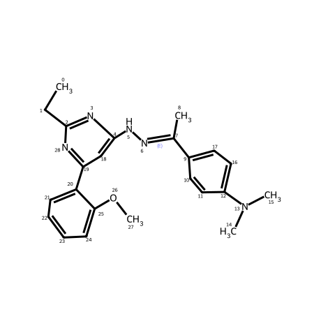 CCc1nc(N/N=C(\C)c2ccc(N(C)C)cc2)cc(-c2ccccc2OC)n1